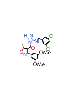 COc1cc(OC)cc(-c2noc(C)c2C(=O)/N=C(/N)NCc2cc(Cl)cc(Cl)c2)c1